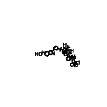 CC(C)[C@H](NC(=O)C(C)(C)c1cccc(-c2cc3cc([C@@H](C)O)ccc3cn2)c1)C(=O)N[C@@H](C)C(=O)N1CCC[C@@H](C(=O)OCC(Cl)(Cl)Cl)N1